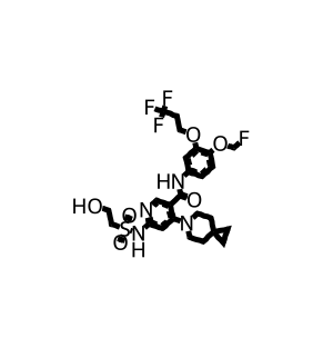 O=C(Nc1ccc(OCF)c(OCCC(F)(F)F)c1)c1cnc(NS(=O)(=O)CCO)cc1N1CCC2(CC1)CC2